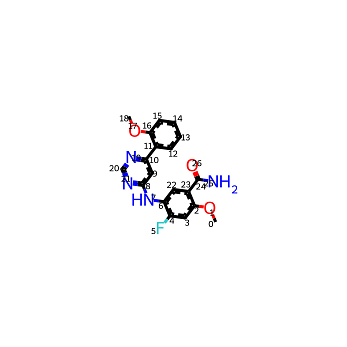 COc1cc(F)c(Nc2cc(-c3ccccc3OC)ncn2)cc1C(N)=O